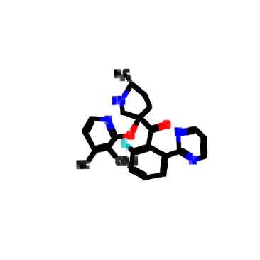 C[C@@H]1CC[C@](Oc2nccc(C#N)c2C(=O)O)(C(=O)c2c(F)cccc2-c2ncccn2)CN1